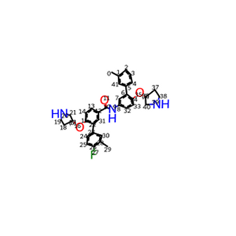 Cc1cccc(-c2cc(NC(=O)c3ccc(O[C@H]4CCNC4)c(-c4ccc(F)c(C)c4)c3)ccc2O[C@H]2CCNC2)c1